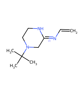 C=C/N=C1/CN(C(C)(C)C)CCN1